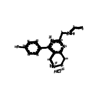 CCNCc1nc2c(c(-c3ccc(F)cc3)n1)CNCC2.Cl